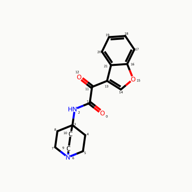 O=C(NC12CCN(CC1)CC2)C(=O)c1coc2ccccc12